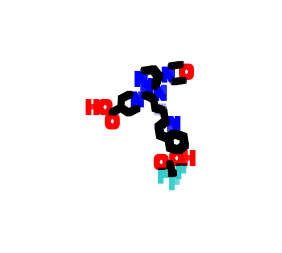 O=C(O)C(F)(F)F.O=C(O)C1CCN(c2c(/C=C/c3ccc4ccccc4n3)nc3c(N4CCOCC4)ccnn23)CC1